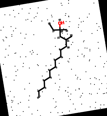 CCCCCCCCCCCC(C)CC(C)(O)CC